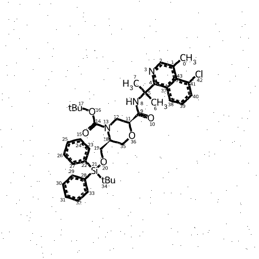 Cc1cnc(C(C)(C)NC(=O)[C@@H]2CN(C(=O)OC(C)(C)C)[C@H](CO[Si](c3ccccc3)(c3ccccc3)C(C)(C)C)CO2)c2cccc(Cl)c12